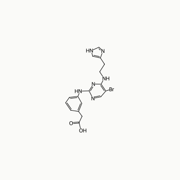 O=C(O)Cc1cccc(Nc2ncc(Br)c(NCCc3c[nH]cn3)n2)c1